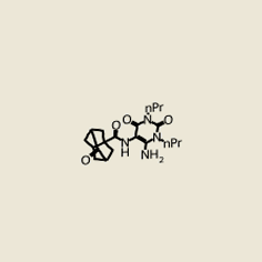 CCCn1c(N)c(NC(=O)C23CC4CC2CC(C3)C4=O)c(=O)n(CCC)c1=O